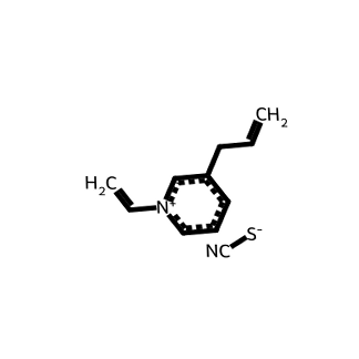 C=CCc1ccc[n+](C=C)c1.N#C[S-]